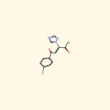 CC(C)C(=O)C(=CC(=O)c1ccc(Cl)cc1)n1cncn1